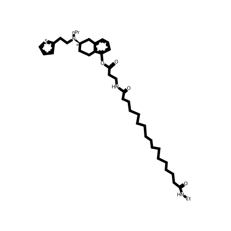 CCCN(CCc1cccs1)[C@@H]1CCc2c(cccc2OC(=O)CCNC(=O)CCCCCCCCCCCCCCCC(=O)NCC)C1